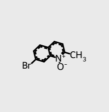 Cc1ccc2ccc(Br)cc2[n+]1[O-]